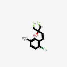 OC(/C=C\c1cc(C(F)(F)F)ccc1Cl)(CF)CF